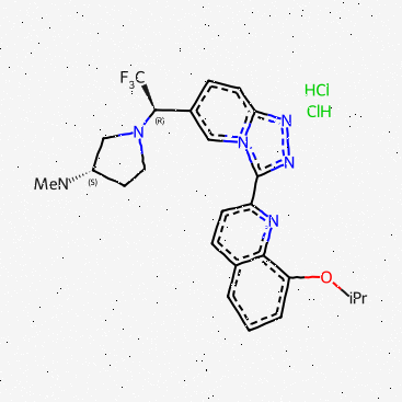 CN[C@H]1CCN([C@H](c2ccc3nnc(-c4ccc5cccc(OC(C)C)c5n4)n3c2)C(F)(F)F)C1.Cl.Cl